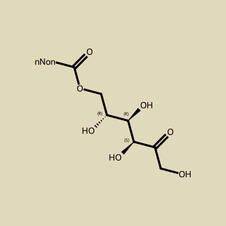 CCCCCCCCCC(=O)OC[C@@H](O)[C@@H](O)[C@H](O)C(=O)CO